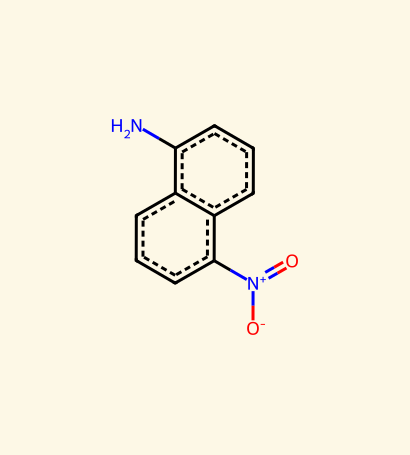 Nc1cccc2c([N+](=O)[O-])cccc12